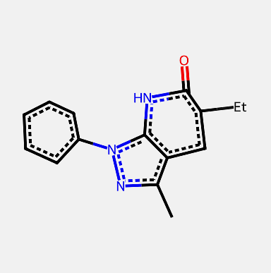 CCc1cc2c(C)nn(-c3ccccc3)c2[nH]c1=O